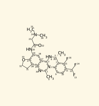 Cc1nc(N[C@H](C)c2cccc(C(F)F)c2F)c2cc(NC(=O)CN(C)C)c3c(c2n1)CCO3